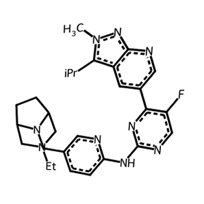 CCN1CC2CCC(C1)N2Cc1ccc(Nc2ncc(F)c(-c3cnc4nn(C)c(C(C)C)c4c3)n2)nc1